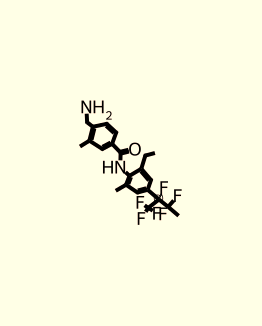 CCc1cc([C@@](F)(C(C)(F)F)C(F)(F)F)cc(C)c1NC(=O)c1ccc(CN)c(C)c1